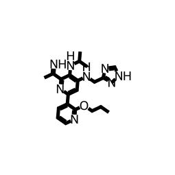 CCCOc1ncccc1-c1cc(NCc2nc[nH]n2)c(NC(C)C)c(C(C)=N)n1